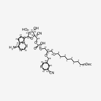 CCCCCCCCCCCCCCCCCCOC[C@H](COP(=O)(O)OC[C@@]1(C#N)OC(c2ccc3c(N)ncnn23)[C@H](O)[C@@H]1O)OCc1cncc(C#N)c1